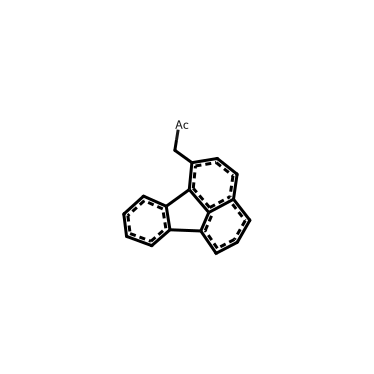 CC(=O)Cc1ccc2cccc3c2c1-c1ccccc1-3